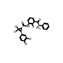 CN(C(=O)c1cccc(NC(=O)[C@@H]2[C@@H](c3ccc(Cl)c(Cl)c3)C2(Cl)Cl)c1F)c1ccccc1